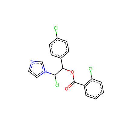 O=C(OC(c1ccc(Cl)cc1)C(Cl)n1ccnc1)c1ccccc1Cl